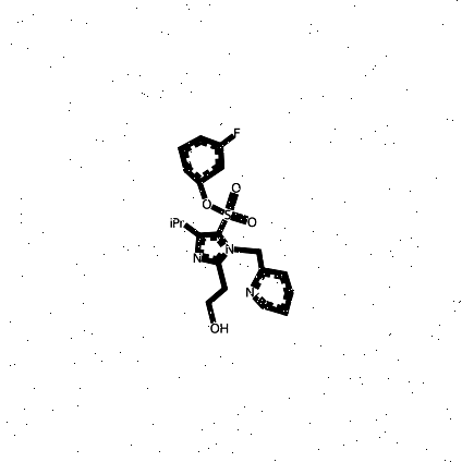 CC(C)c1nc(CCO)n(Cc2ccccn2)c1S(=O)(=O)Oc1cccc(F)c1